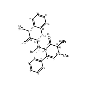 CC(=O)N1C=C(c2ccccc2)N(N(C(C)=O)[C@@H](Cc2ccccc2)C(=O)CO)C(=O)[C@H]1C(C)C